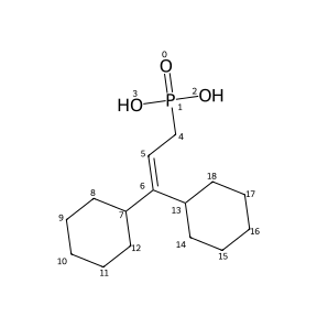 O=P(O)(O)CC=C(C1CCCCC1)C1CCCCC1